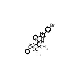 CC(C)C(NC(=O)OC1CCCC1)C(=O)N1CCC[C@H]1c1nc(-c2ccc(Br)cc2)c[nH]1